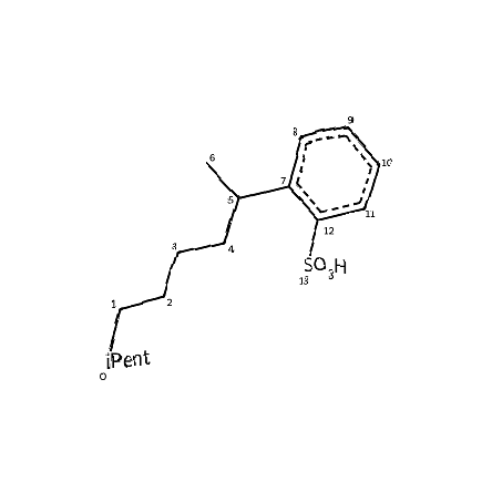 CCCC(C)CCCCC(C)c1ccccc1S(=O)(=O)O